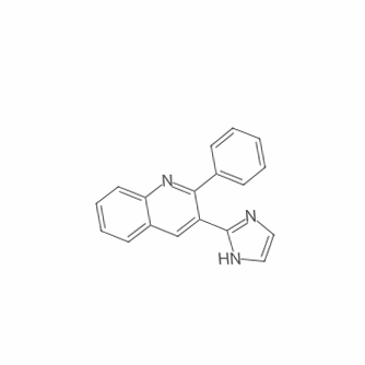 c1ccc(-c2nc3ccccc3cc2-c2ncc[nH]2)cc1